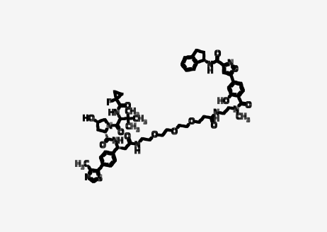 Cc1ncsc1-c1ccc([C@H](CC(=O)NCCOCCOCCOCCC(=O)NCCN(C)C(=O)c2ccc(-c3cc(C(=O)N[C@@H]4CCc5ccccc54)no3)cc2O)NC(=O)[C@@H]2C[C@@H](O)CN2C(=O)[C@@H](NC(=O)C2(F)CC2)C(C)(C)C)cc1